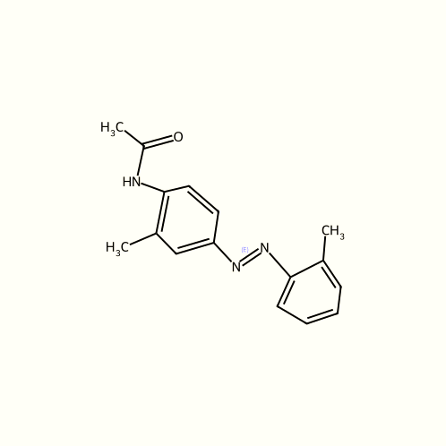 CC(=O)Nc1ccc(/N=N/c2ccccc2C)cc1C